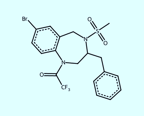 CS(=O)(=O)N1Cc2cc(Br)ccc2N(C(=O)C(F)(F)F)CC1Cc1ccccc1